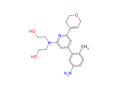 Cc1ccc(N)cc1-c1cc(C2=CCOCC2)nc(N(CCO)CCO)c1